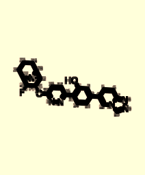 Oc1cc(-c2ccc3nncn3c2)ccc1-c1ccc(O[C@@H]2CC3CCCC(N3)[C@@H]2F)nn1